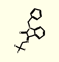 O=C1C(=NCC(F)(F)F)c2ccccc2N1Cc1ccccc1